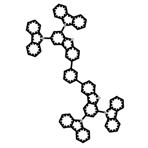 c1cc(-c2ccc3oc4c(-n5c6ccccc6c6ccccc65)cc(-n5c6ccccc6c6ccccc65)cc4c3c2)cc(-c2ccc3oc4c(-n5c6ccccc6c6ccccc65)cc(-n5c6ccccc6c6ccccc65)cc4c3c2)c1